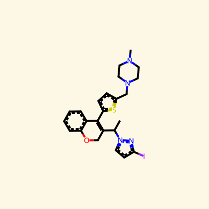 CC(C1=C(c2ccc(CN3CCN(C)CC3)s2)c2ccccc2OC1)n1ccc(I)n1